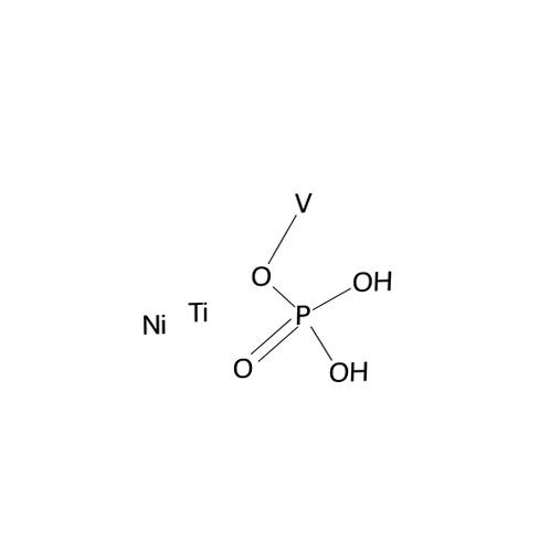 O=P(O)(O)[O][V].[Ni].[Ti]